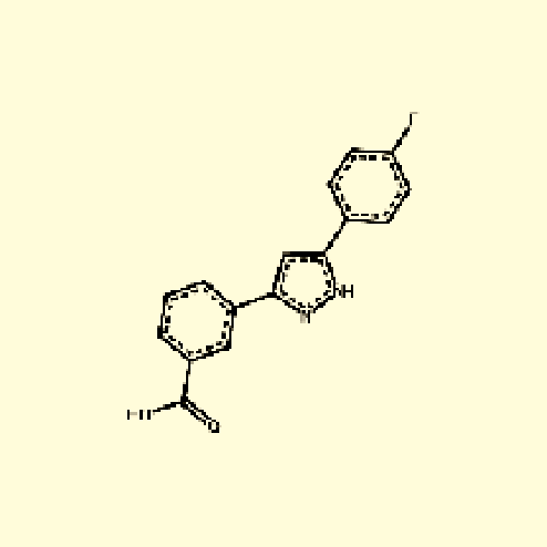 O=C(O)c1cccc(-c2cc(-c3ccc(F)cc3)[nH]n2)c1